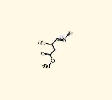 CCCC(/C=N/C(C)C)CC(=O)OC(C)(C)C